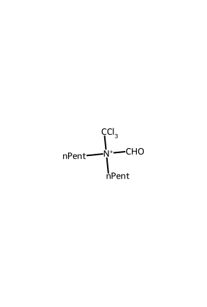 CCCCC[N+](C=O)(CCCCC)C(Cl)(Cl)Cl